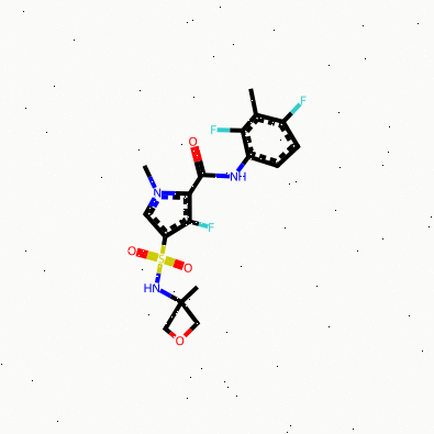 Cc1c(F)ccc(NC(=O)c2c(F)c(S(=O)(=O)NC3(C)COC3)cn2C)c1F